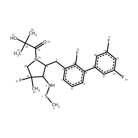 CSNC1C(Cc2cccc(-c3cc(F)cc(F)c3)c2F)N(C(=O)C(C)(C)O)CC1(C)F